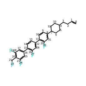 C=CCCC1CCC(c2ccc(-c3ccc(-c4cc(F)c(CF)c(F)c4)c(F)c3)c(F)c2)CC1